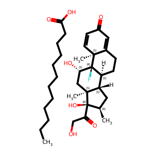 CCCCCCCCCCCC(=O)O.C[C@@H]1C[C@H]2[C@@H]3CCC4=CC(=O)C=C[C@]4(C)[C@@]3(F)[C@@H](O)C[C@]2(C)[C@@]1(O)C(=O)CO